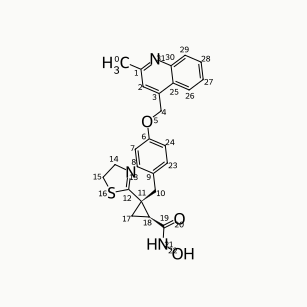 Cc1cc(COc2ccc(C[C@]3(C4=NCCS4)C[C@@H]3C(=O)NO)cc2)c2ccccc2n1